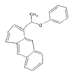 CC(Oc1ccccc1)c1cccc2cc3ccccc3cc12